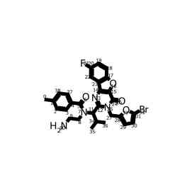 Cc1ccc(C(=O)N(CCN)C(c2nc3c(oc4ccc(F)cc43)c(=O)n2Cc2ccc(Br)o2)C(C)C)cc1